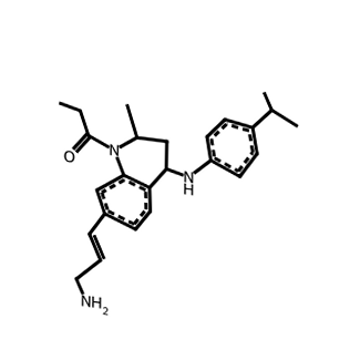 CCC(=O)N1c2cc(/C=C/CN)ccc2C(Nc2ccc(C(C)C)cc2)CC1C